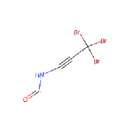 O=[C]NC#CC(Br)(Br)Br